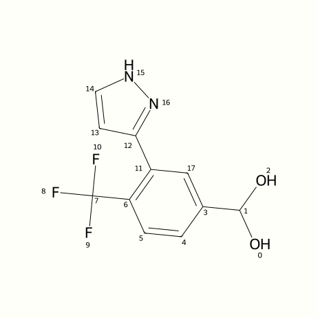 OC(O)c1ccc(C(F)(F)F)c(-c2cc[nH]n2)c1